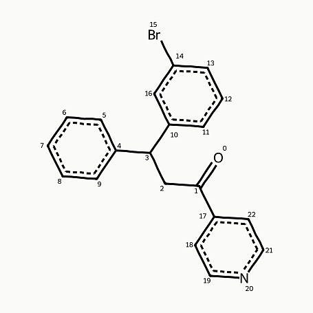 O=C(CC(c1ccccc1)c1cccc(Br)c1)c1ccncc1